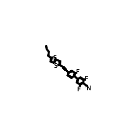 CCCCc1cc2sc(C#Cc3ccc(-c4cc(F)c(C#N)c(F)c4)c(F)c3)cc2s1